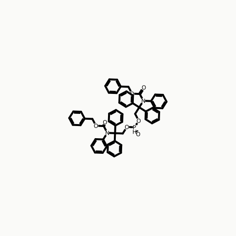 O=C(OCc1ccccc1)N(c1ccccc1)C(CO[PH](=O)OCC(c1ccccc1)(c1ccccc1)N(C(=O)OCc1ccccc1)c1ccccc1)(c1ccccc1)c1ccccc1